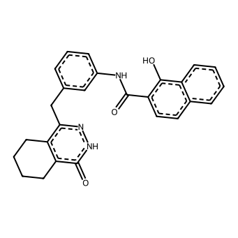 O=C(Nc1cccc(Cc2n[nH]c(=O)c3c2CCCC3)c1)c1ccc2ccccc2c1O